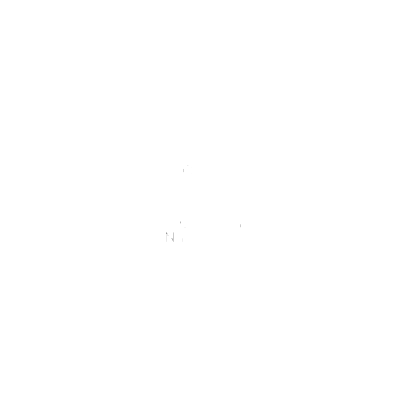 [Na+].[O-]C1COCCO1